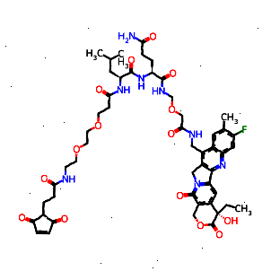 CC[C@@]1(O)C(=O)OCc2c1cc1n(c2=O)Cc2c-1nc1cc(F)c(C)cc1c2CNC(=O)COCNC(=O)[C@H](CCC(N)=O)NC(=O)[C@H](CC(C)C)NC(=O)CCOCCOCCNC(=O)CCC1C(=O)C=CC1=O